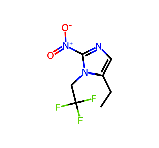 CCc1cnc([N+](=O)[O-])n1CC(F)(F)F